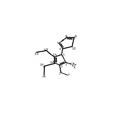 CCC1=[C]([Zr])C(C2=CC=CC2)C(CC)=C1CC